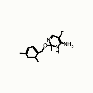 CC1=CC=C(COC2(C)N=CC(F)=C(N)N2)C(C)C1